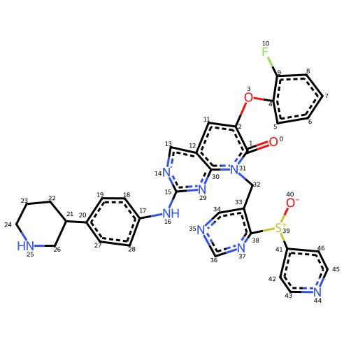 O=c1c(Oc2ccccc2F)cc2cnc(Nc3ccc(C4CCCNC4)cc3)nc2n1Cc1cncnc1[S+]([O-])c1ccncc1